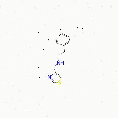 c1ccc(CCNCc2cscn2)cc1